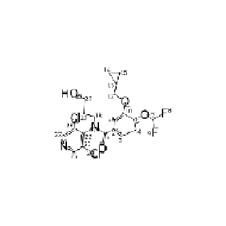 O=C(C1=CCC(OC(F)F)C(OCC2CC2)=C1)N(CCCO)c1c(Cl)cncc1Cl